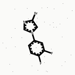 Fc1ccc(-n2cnc(Br)c2)cc1F